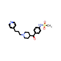 CS(=O)(=O)Nc1ccc(C(=O)C2CCN(CCCc3ccncc3)CC2)cc1